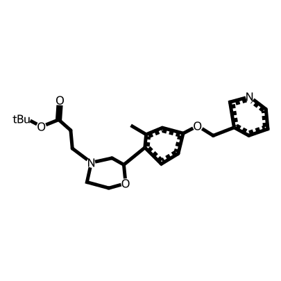 Cc1cc(OCc2cccnc2)ccc1C1CN(CCC(=O)OC(C)(C)C)CCO1